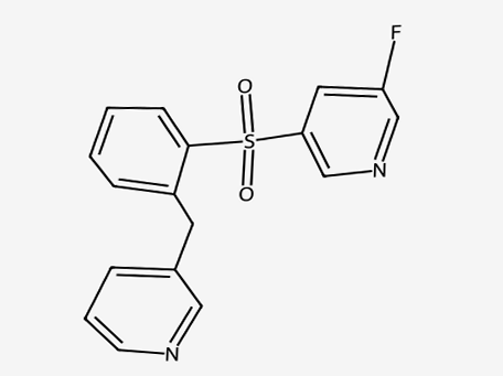 O=S(=O)(c1cncc(F)c1)c1ccccc1Cc1cccnc1